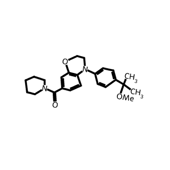 COC(C)(C)c1ccc(N2CCOc3cc(C(=O)N4CCCCC4)ccc32)cc1